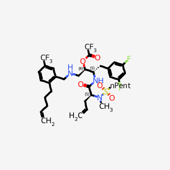 C=CCCCc1ccc(C(F)(F)F)cc1CNC[C@@H](OC(=O)C(F)(F)F)[C@H](Cc1cc(F)cc(F)c1)NC(=O)[C@H](CC=C)N(C)S(=O)(=O)CCCCC